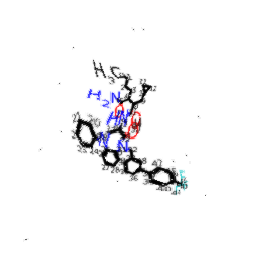 CCCCC(C(N)=O)C(CC1CC1)C(=O)NC1CN(c2ccccc2)c2ccccc2N(Cc2cccc(-c3ccc(C(F)(F)F)cc3)c2)C1=O